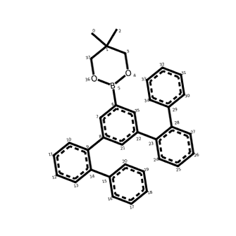 CC1(C)COB(c2cc(-c3ccccc3-c3ccccc3)cc(-c3ccccc3-c3ccccc3)c2)OC1